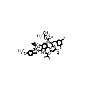 COc1ccc(CN(c2nn(CC(F)F)c3c(-n4c(C(Cc5cc(F)cc(F)c5)NC(=O)OC(C)(C)C)nc(O)cc4=O)ccc(Cl)c23)S(=O)(=O)C2CC2)cc1